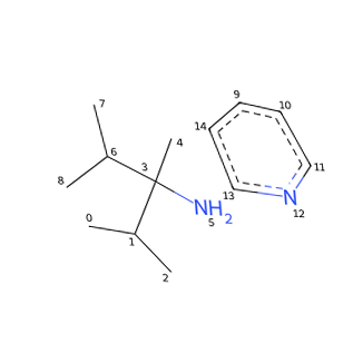 CC(C)C(C)(N)C(C)C.c1ccncc1